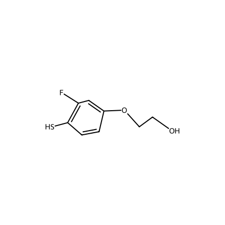 OCCOc1ccc(S)c(F)c1